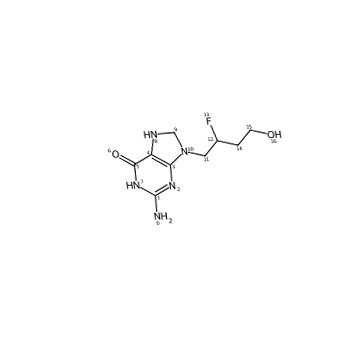 Nc1nc2c(c(=O)[nH]1)NCN2CC(F)CCO